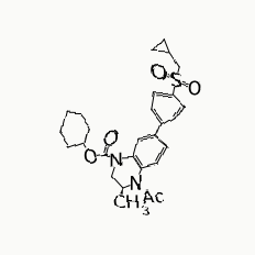 CC(=O)N1c2ccc(-c3ccc(S(=O)(=O)CC4CC4)cc3)cc2N(C(=O)OC2CCCCC2)C[C@@H]1C